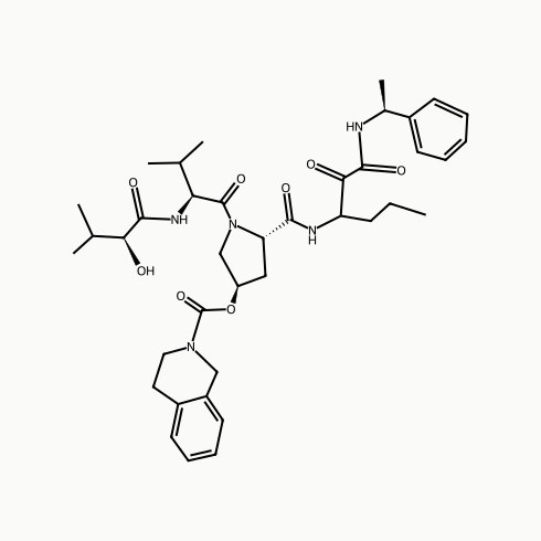 CCCC(NC(=O)[C@@H]1C[C@@H](OC(=O)N2CCc3ccccc3C2)CN1C(=O)[C@@H](NC(=O)[C@@H](O)C(C)C)C(C)C)C(=O)C(=O)N[C@@H](C)c1ccccc1